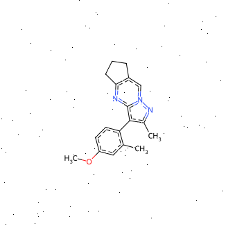 COc1ccc(-c2c(C)nn3cc4c(nc23)CCC4)c(C)c1